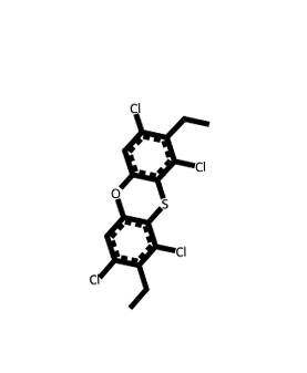 CCc1c(Cl)cc2c(c1Cl)Sc1c(cc(Cl)c(CC)c1Cl)O2